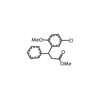 COC(=O)CC(c1ccccc1)c1cc(Cl)ccc1OC